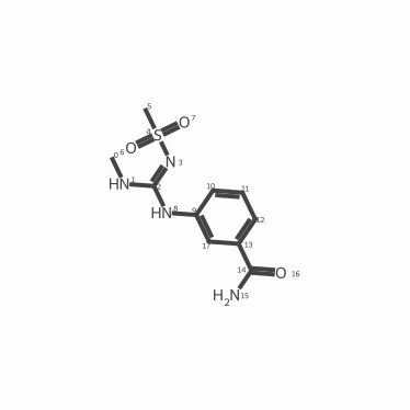 CNC(=NS(C)(=O)=O)Nc1cccc(C(N)=O)c1